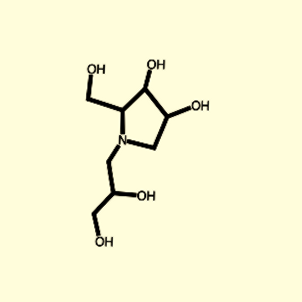 OCC(O)CN1CC(O)C(O)C1CO